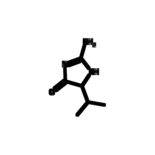 CC(C)C1NC(N)=NC1=O